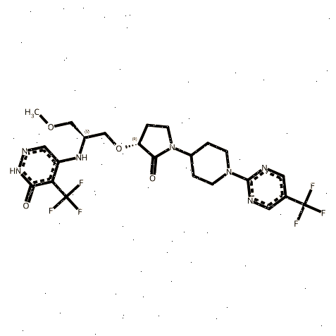 COC[C@@H](CO[C@@H]1CCN(C2CCN(c3ncc(C(F)(F)F)cn3)CC2)C1=O)Nc1cn[nH]c(=O)c1C(F)(F)F